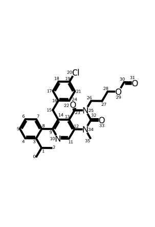 CC(C)c1ccccc1-c1ncc2c(c1Cc1ccc(Cl)cc1)c(=O)n(CCCOC=O)c(=O)n2C